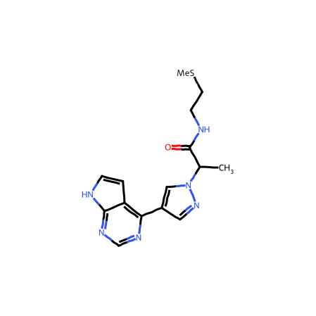 CSCCNC(=O)C(C)n1cc(-c2ncnc3[nH]ccc23)cn1